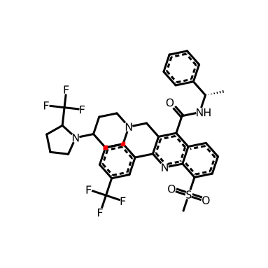 C[C@H](NC(=O)c1c(CN2CCC(N3CCCC3C(F)(F)F)CC2)c(-c2cccc(C(F)(F)F)c2)nc2c(S(C)(=O)=O)cccc12)c1ccccc1